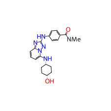 CNC(=O)c1ccc(Nc2nc3cccc(N[C@H]4CC[C@@H](O)CC4)n3n2)cc1